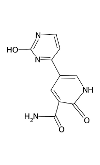 NC(=O)c1cc(-c2ccnc(O)n2)c[nH]c1=O